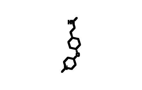 CNCC[C@H]1CC[C@H](OC2CCN(C)CC2)CC1